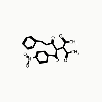 CC(=O)C(C(C)=O)C(C(=O)CCc1ccccc1)C(=O)c1ccc([N+](=O)[O-])cc1